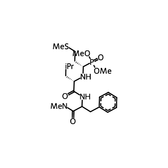 CNC(=O)C(Cc1ccccc1)NC(=O)[C@H](CC(C)C)N[C@H](CCSC)P(=O)(OC)OC